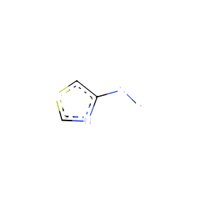 CC(=O)Nc1cscn1